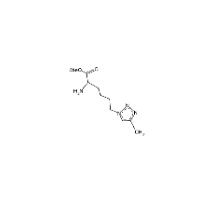 COC(=O)C(N)CCCCn1cc(C)nn1